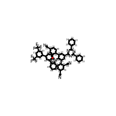 N#Cc1ccc(-c2cc(-c3nc(-c4ccccc4)nc(-c4ccccc4)n3)cc(-c3ccc(C#N)cc3C#N)c2-n2c3ccccc3c3cc(-c4cc(C(F)(F)F)cc(C(F)(F)F)c4)ccc32)c(C#N)c1